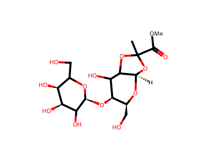 COC(=O)C1(C)OC2C(O)[C@H](O[C@@H]3OC(CO)[C@H](O)[C@H](O)C3O)[C@H](CO)O[C@@H]2O1